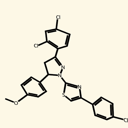 COc1ccc(C2CC(c3ccc(Cl)cc3Cl)=NN2c2nc(-c3ccc(Cl)cc3)cs2)cc1